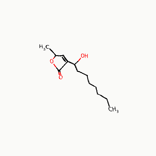 CCCCCCCC(O)C1=CC(C)OC1=O